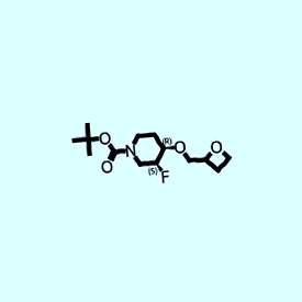 CC(C)(C)OC(=O)N1CC[C@@H](OCC2CCO2)[C@@H](F)C1